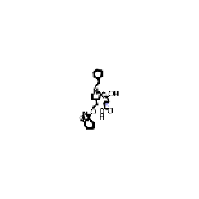 O=C(O)/C=C/C(=O)O.c1ccc(CCN2CCC(CCOc3noc4ccccc34)CC2)cc1